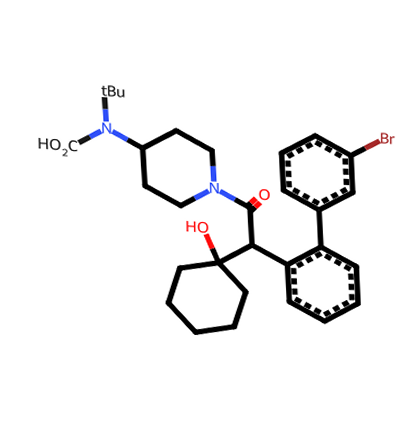 CC(C)(C)N(C(=O)O)C1CCN(C(=O)C(c2ccccc2-c2cccc(Br)c2)C2(O)CCCCC2)CC1